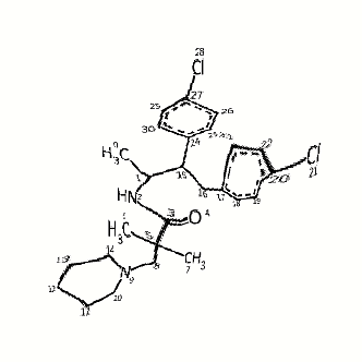 CC(NC(=O)C(C)(C)CN1CCCCC1)C(Cc1ccc(Cl)cc1)c1ccc(Cl)cc1